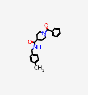 Cc1ccc(CNC(=O)C2CCN(C(=O)c3ccccc3)CC2)cc1